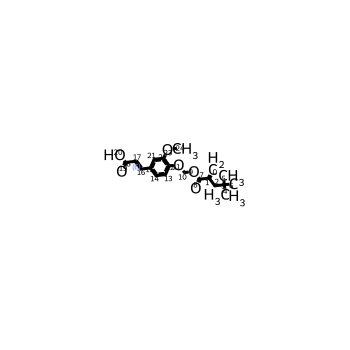 C=C(CC(C)(C)C)C(=O)OCOc1ccc(/C=C/C(=O)O)cc1OC